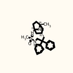 C[C@@]12CC[C@@H](C[C@@H](CC(CNS(C)(=O)=O)(c3ccccc3)c3ccccc3)C1)N2